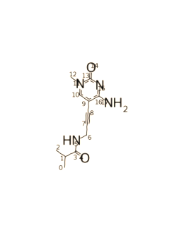 CC(C)C(=O)NCC#Cc1cn(C)c(=O)nc1N